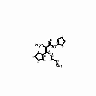 CC(C(=O)OC1=CCCC1)=C(OCCO)C1=CCCC1